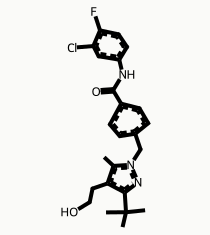 Cc1c(CCO)c(C(C)(C)C)nn1Cc1ccc(C(=O)Nc2ccc(F)c(Cl)c2)cc1